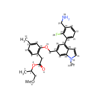 COCC(C)OC(=O)Cc1ccc(C)cc1OCc1cc(-c2cccc(CN)c2F)c2ccn(C(C)C)c2c1